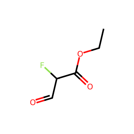 CCOC(=O)[C](F)C=O